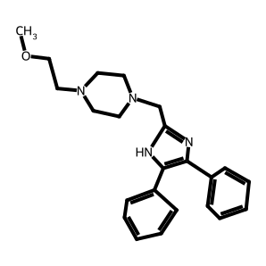 COCCN1CCN(Cc2nc(-c3ccccc3)c(-c3ccccc3)[nH]2)CC1